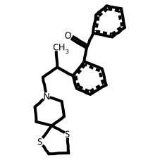 CC(CN1CCC2(CC1)SCCS2)c1ccccc1C(=O)c1ccccc1